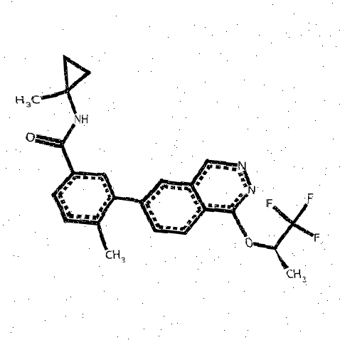 Cc1ccc(C(=O)NC2(C)CC2)cc1-c1ccc2c(O[C@H](C)C(F)(F)F)nncc2c1